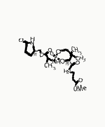 COC(=O)CCNC(=O)[C@@H]1OP(=O)(NC(C)C(=O)OC[C@H]2CCC(=O)N2)OCC1(C)C